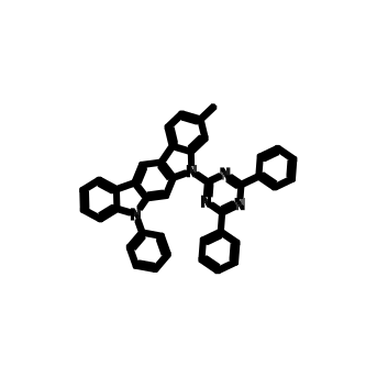 Cc1ccc2c3cc4c5ccccc5n(-c5ccccc5)c4cc3n(-c3nc(-c4ccccc4)nc(-c4ccccc4)n3)c2c1